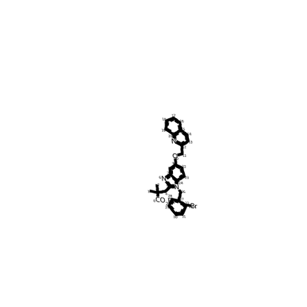 CCOC(=O)C(C)(C)Cc1nc2cc(OCc3ccc4ccccc4n3)ccc2n1Cc1ccccc1Br